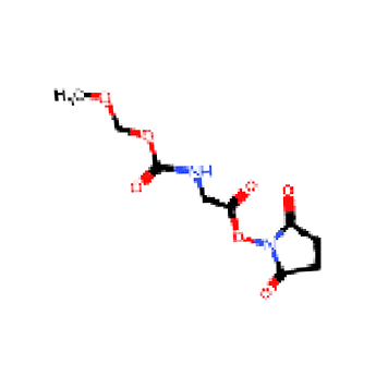 COCOC(=O)NCC(=O)ON1C(=O)CCC1=O